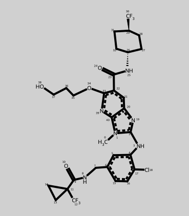 Cn1c(Nc2cc(CNC(=O)C3(C(F)(F)F)CC3)ccc2Cl)nc2cc(C(=O)N[C@H]3CC[C@H](C(F)(F)F)CC3)c(OCCCO)nc21